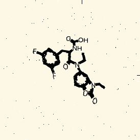 CCN(C(=O)C(Cc1cc(F)cc(F)c1)NC(=O)O)c1ccc2oc(=O)n(CC)c2c1